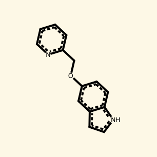 c1ccc(COc2ccc3[nH]ccc3c2)nc1